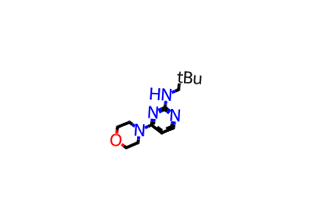 CC(C)(C)CNc1nccc(N2CCOCC2)n1